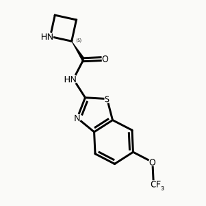 O=C(Nc1nc2ccc(OC(F)(F)F)cc2s1)[C@@H]1CCN1